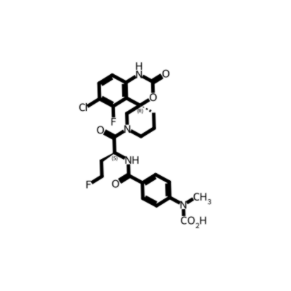 CN(C(=O)O)c1ccc(C(=O)N[C@@H](CCF)C(=O)N2CCC[C@@]3(C2)OC(=O)Nc2ccc(Cl)c(F)c23)cc1